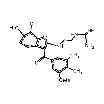 COc1cc(C(=O)c2c(NCCNC(=N)N)oc3c(O)c(C)ccc23)cc(C)c1C